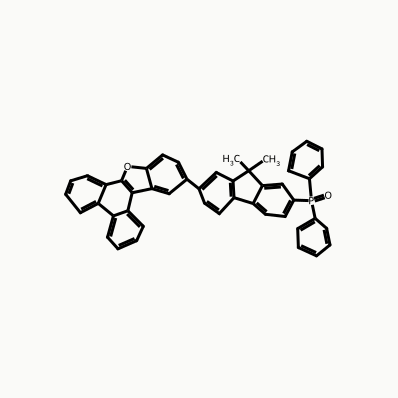 CC1(C)c2cc(-c3ccc4oc5c6ccccc6c6ccccc6c5c4c3)ccc2-c2ccc(P(=O)(c3ccccc3)c3ccccc3)cc21